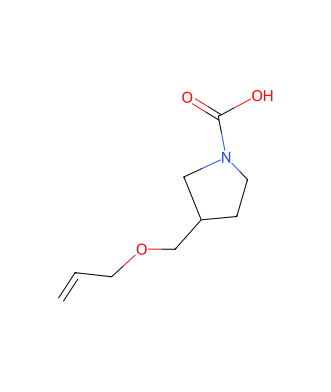 C=CCOCC1CCN(C(=O)O)C1